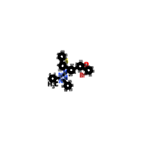 Cc1ccccc1-c1nc(-c2ccccc2)nc(-n2c3ccc(-c4ccc5oc6cccc(Br)c6c5c4)cc3c3c4sc5ccccc5c4ccc32)n1